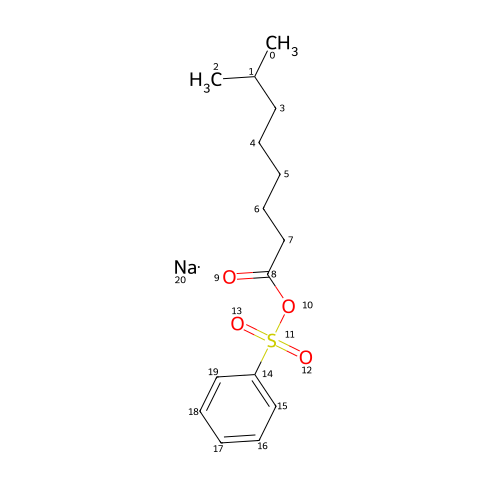 CC(C)CCCCCC(=O)OS(=O)(=O)c1ccccc1.[Na]